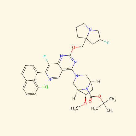 CO[C@@H]1C[C@@H]2CN(c3nc(OCC45CCCN4CC(F)C5)nc4c(F)c(-c5cccc6cccc(Cl)c56)ncc34)C[C@H]1N2C(=O)OC(C)(C)C